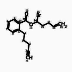 C#CCCCc1ccccc1C(=O)OC(Br)CCC=C